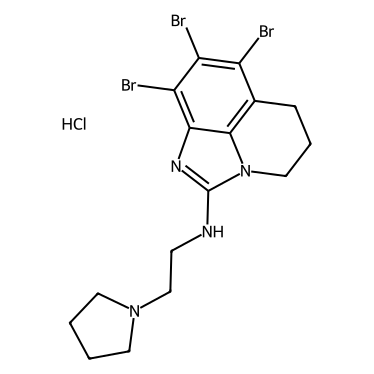 Brc1c(Br)c2c3c(nc(NCCN4CCCC4)n3CCC2)c1Br.Cl